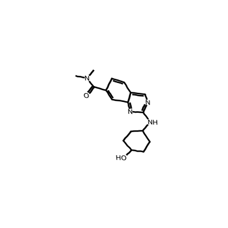 CN(C)C(=O)c1ccc2cnc(NC3CCC(O)CC3)nc2c1